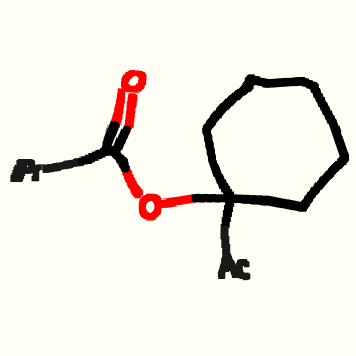 CC(=O)C1(OC(=O)C(C)C)CCCCC1